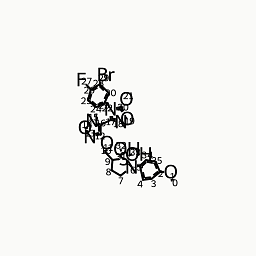 COc1ccc(N2CCC(COc3nonc3-c3noc(=O)n3-c3ccc(F)c(Br)c3)S2(O)O)cc1